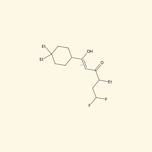 CCC(CC(F)F)C(=O)/C=C(\O)C1CCC(CC)(CC)CC1